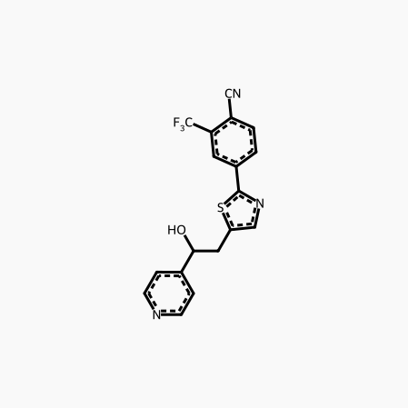 N#Cc1ccc(-c2ncc(CC(O)c3ccncc3)s2)cc1C(F)(F)F